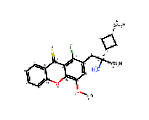 CCCOc1cc(CC(N)(C(=O)O)[C@H]2C[C@@H](C(=O)O)C2)c(Cl)c2c(=S)c3ccccc3oc12